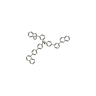 c1cc(-c2ccc(N(c3ccc(-c4ccc(-c5cccc6ccccc56)cc4)cc3)c3cccc(-c4cc5ccccc5o4)c3)cc2)cc(-c2ccc3ccccc3c2)c1